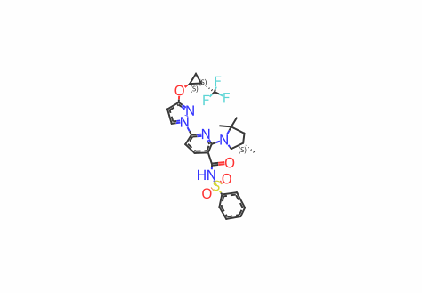 C[C@@H]1CN(c2nc(-n3ccc(O[C@H]4C[C@@H]4C(F)(F)F)n3)ccc2C(=O)NS(=O)(=O)c2ccccc2)C(C)(C)C1